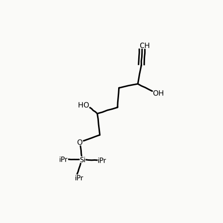 C#CC(O)CCC(O)CO[Si](C(C)C)(C(C)C)C(C)C